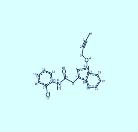 CC#CCOn1cc(CC(=O)Nc2ccncc2Cl)c2ccccc21